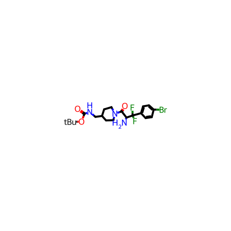 CC(C)(C)OC(=O)NCC1CCN(C(=O)C(N)C(F)(F)c2ccc(Br)cc2)CC1